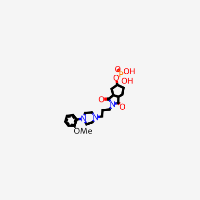 COc1ccccc1N1CCN(CCCN2C(=O)C3CCC(OP(=O)(O)O)CC3C2=O)CC1